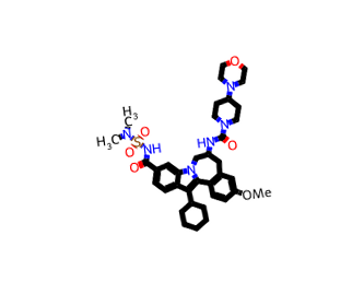 COc1ccc2c(c1)CC(NC(=O)N1CCC(N3CCOCC3)CC1)Cn1c-2c(C2CCCCC2)c2ccc(C(=O)NS(=O)(=O)N(C)C)cc21